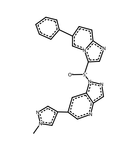 Cn1cc(-c2cnc3cnn([S+]([O-])c4cnc5ccc(-c6ccccc6)cn45)c3c2)cn1